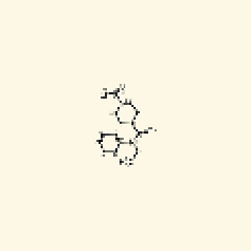 CCN(C(=O)C1CCN(C(=O)Cl)CC1)c1ccccc1